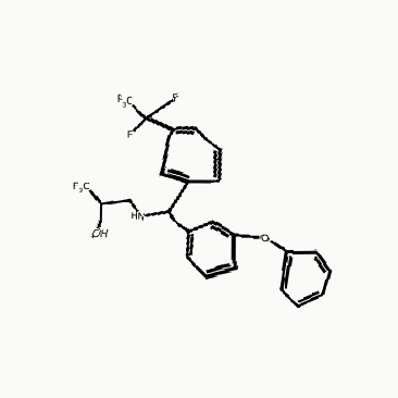 OC(CNC(c1cccc(Oc2ccccc2)c1)c1cccc(C(F)(F)C(F)(F)F)c1)C(F)(F)F